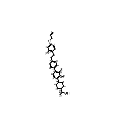 C=CCOc1ccc(CCc2ccc(-c3ccc(C4CCC(C(C)O)CC4)c(F)c3F)cc2)c(F)c1